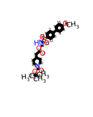 COc1ccc(-c2ccc(S(=O)(=O)NCOC(=O)CC3CCN(C(=O)OC(C)(C)C)CC3)cc2)cc1